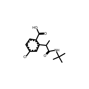 CC(C(=O)NC(C)(C)C)c1cc(Cl)ccc1C(=O)O